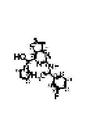 CC(Nc1nc(C(O)N2CCCC2)c2sccc2n1)c1cccc(F)c1